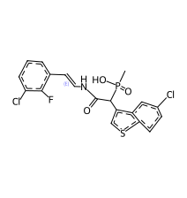 CP(=O)(O)C(C(=O)N/C=C/c1cccc(Cl)c1F)c1csc2ccc(Cl)cc12